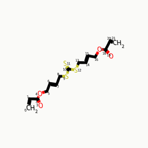 C=CC(=O)OC/C=C/CSC(=S)SC/C=C/COC(=O)C=C